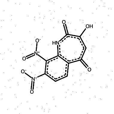 O=c1[nH]c2c([N+](=O)[O-])c([N+](=O)[O-])ccc2c(=O)cc1O